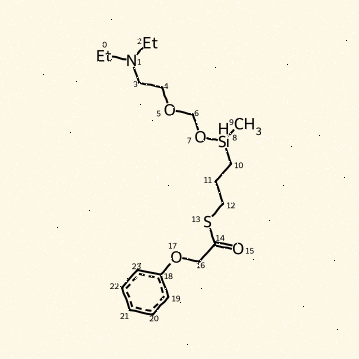 CCN(CC)CCOCO[SiH](C)CCCSC(=O)COc1ccccc1